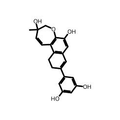 CC1(O)C=Cc2c3c(cc(O)c2OC1)C=C(c1cc(O)cc(O)c1)CC3